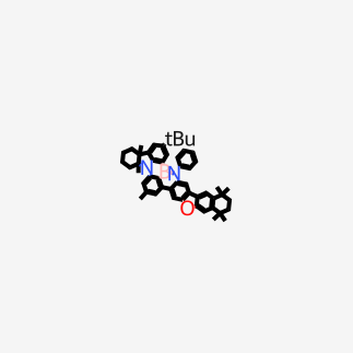 Cc1cc2c3c(c1)N1c4c(cc(C(C)(C)C)cc4C4(C)CCCCC14C)B3N(c1ccccc1)c1cc3c(cc1-2)oc1cc2c(cc13)C(C)(C)CCC2(C)C